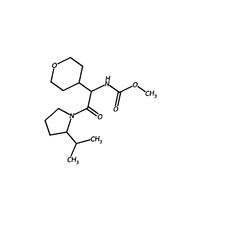 COC(=O)NC(C(=O)N1CCCC1C(C)C)C1CCOCC1